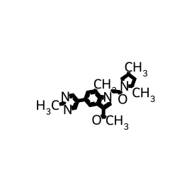 CC(=O)c1cn(CC(=O)N2CC(C)CC2C)c2c(C)cc(-c3cnc(C)nc3)cc12